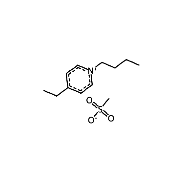 CCCC[n+]1ccc(CC)cc1.CS(=O)(=O)[O-]